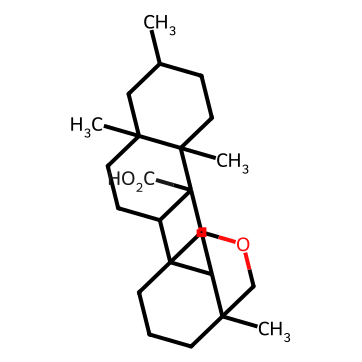 CC1CCC2(C)C(C)(CCC3C45CCCC(C)(COC4)C5CCC32C(=O)O)C1